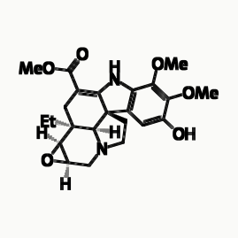 CC[C@@]12CC(C(=O)OC)=C3Nc4c(cc(O)c(OC)c4OC)[C@@]34CCN(C[C@H]3O[C@H]31)[C@@H]24